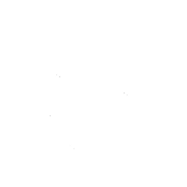 Cc1cnccc1-c1cc(C2CCCN2CCNC(=O)OC(C)(C)C)[nH]c(=O)c1-c1ccc2ccccc2c1